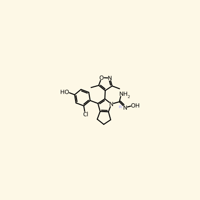 Cc1noc(C)c1-c1c(-c2ccc(O)cc2Cl)c2c(n1/C(N)=N/O)CCC2